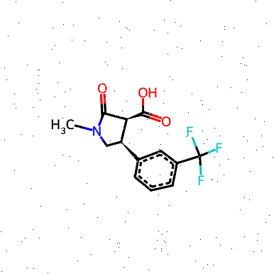 CN1C[C@H](c2cccc(C(F)(F)F)c2)[C@H](C(=O)O)C1=O